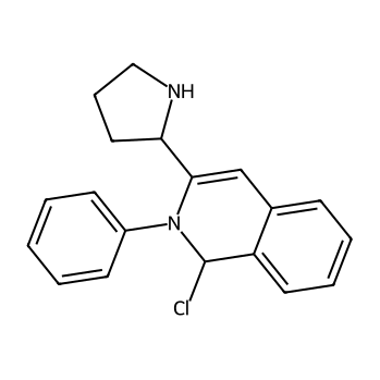 ClC1c2ccccc2C=C(C2CCCN2)N1c1ccccc1